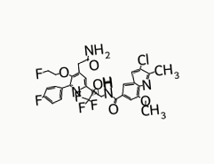 COc1cc(C(=O)NC[C@](O)(c2cc(CC(N)=O)c(OCCF)c(-c3ccc(F)cc3)n2)C(F)(F)F)cc2cc(Cl)c(C)nc12